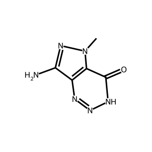 Cn1nc(N)c2nn[nH]c(=O)c21